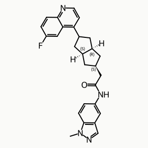 Cn1ncc2cc(NC(=O)C[C@H]3C[C@H]4CC(c5ccnc6ccc(F)cc56)C[C@H]4C3)ccc21